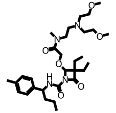 CCCC(NC(=O)N1C(=O)C(CC)(CC)C1OCC(=O)N(C)CCN(CCOC)CCOC)c1ccc(C)cc1